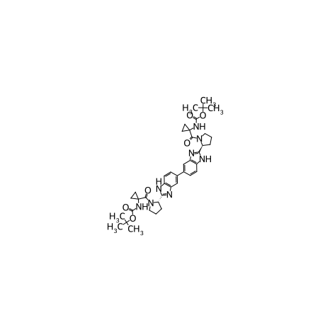 CC(C)(C)OC(=O)NC1(C(=O)N2CCC[C@H]2c2nc3cc(-c4ccc5[nH]c([C@@H]6CCCN6C(=O)C6(NC(=O)OC(C)(C)C)CC6)nc5c4)ccc3[nH]2)CC1